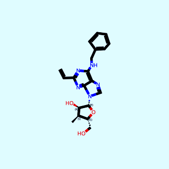 C=Cc1nc(NCc2ccccc2)c2ncn([C@@H]3O[C@H](CO)[C@@H](C)[C@H]3O)c2n1